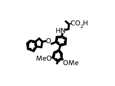 COc1cc(-c2ccc(NC[C@@H](C)C(=O)O)cc2COC2Cc3ccccc3C2)cc(OC)c1C